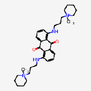 C[N+]1(CCCNc2cccc3c2C(=O)c2cccc(NCCC[N+]4(C)CCCCC4)c2C3=O)CCCCC1